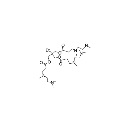 CCC(COC(=O)CCN(C)CCN(C)C)(COC(=O)CCN(C)CCN(C)C)COC(=O)CCN(C)CCN(C)C